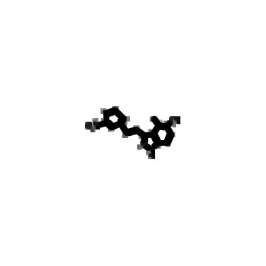 Cc1c(C#N)ccc2[nH]nc(/C=C/c3cccc([N+](=O)[O-])c3)c12